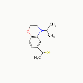 CC(S)c1ccc2c(c1)N(C(C)C)CCO2